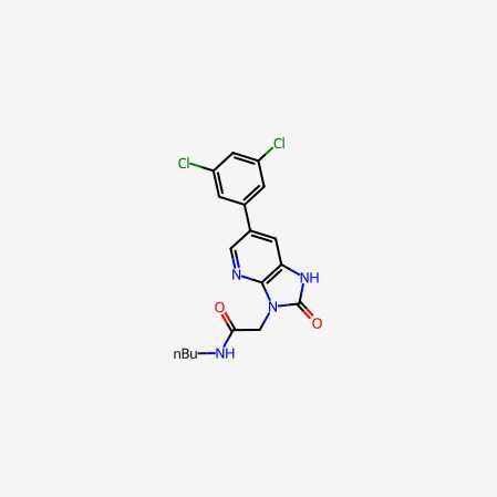 CCCCNC(=O)Cn1c(=O)[nH]c2cc(-c3cc(Cl)cc(Cl)c3)cnc21